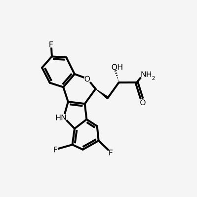 NC(=O)[C@@H](O)C[C@@H]1Oc2cc(F)ccc2-c2[nH]c3c(F)cc(F)cc3c21